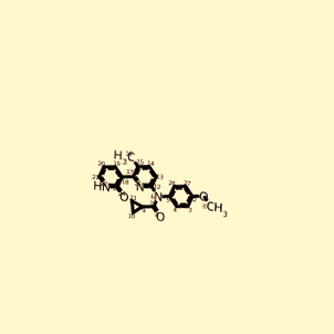 COc1ccc(N(C(=O)C2CC2)c2ccc(C)c(-c3ccc[nH]c3=O)n2)cc1